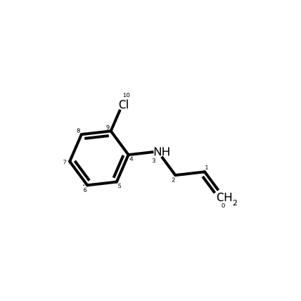 C=CCNc1c[c]ccc1Cl